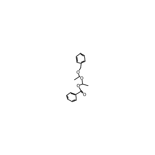 CC(OCc1ccccc1)OC(C)OC(=O)c1ccccc1